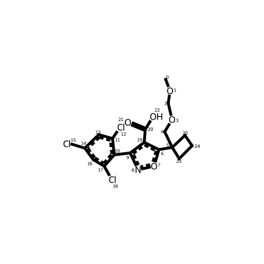 COCOCC1(c2onc(-c3c(Cl)cc(Cl)cc3Cl)c2C(=O)O)CCC1